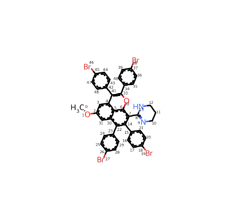 COc1cc2c3c(c(C4=NCCCN4)c(-c4ccc(Br)cc4)c(-c4ccc(Br)cc4)c3c1)OC(c1ccc(Br)cc1)=C2c1ccc(Br)cc1